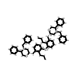 CCCc1c(C[C@H]2CN(Cc3ccccc3)C(c3ccccc3)CO2)cccc1Sc1cccc(C[C@H]2CN(Cc3ccccc3)C(c3ccccc3)CO2)c1CCC